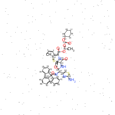 C/C=C\C1=C(C(=O)OC(C)OC(=O)OC2CCCCC2)N2C(=O)C(NC(=O)/C(=N\OC(c3ccccc3)(c3ccccc3)c3ccccc3)c3csc(N)n3)[C@H]2SC1